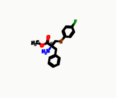 COC(=O)[C@@](N)(CSc1ccc(F)cc1)Cc1ccccc1